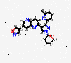 Cc1cccc(-c2nn(C3CCCCO3)cc2-c2ccc3ncc(-c4cnoc4)cc3n2)n1